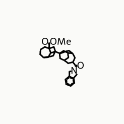 COC(=O)C12CCCC3CC1C(C14CC5CC(C(=O)N6Cc7ccccc7C6)CC(C1)C(C5)C4)(C3)C2